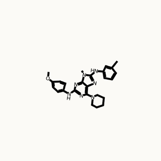 COc1ccc(Nc2nc(N3CCCCC3)c3nc(Nc4cccc(C)c4)n(C)c3n2)cc1